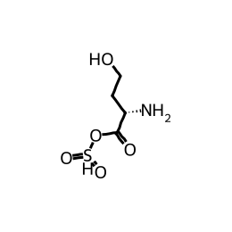 N[C@@H](CCO)C(=O)O[SH](=O)=O